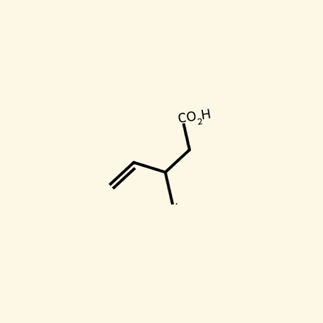 [CH2]C(C=C)CC(=O)O